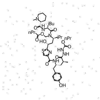 CCCOC(=O)NNC(=O)[C@@H](C)C[C@H](Cc1ccc(O)cc1)NC(=O)c1csc([C@H](O)C[C@H](C(C)C)N(COC(=O)CCC)C(=O)[C@@H](NC(=O)[C@H]2CCCCN2C)C(C)CC)n1